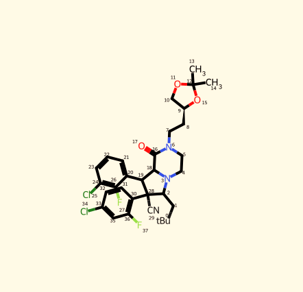 CC(C)(C)CC1N2CCN(CC[C@H]3COC(C)(C)O3)C(=O)C2C(c2cccc(Cl)c2F)C1(C#N)c1ccc(Cl)cc1F